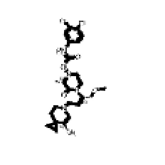 COC[C@H](CCN1CCC2(CC2)[C@H](O)C1)N1CCN(OC(=O)Nc2ccc(Cl)c(Cl)c2)[C@@H](C)C1=O